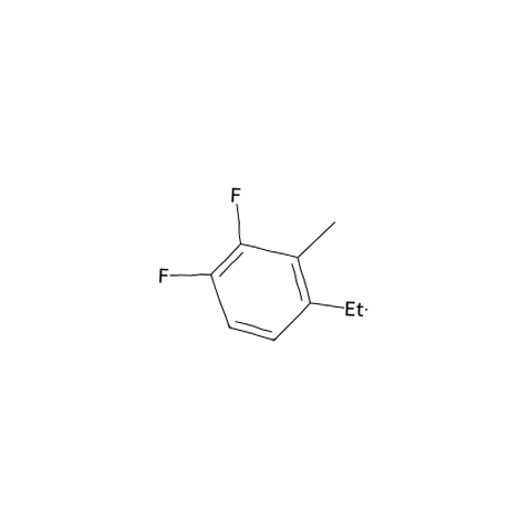 C[CH]c1ccc(F)c(F)c1C